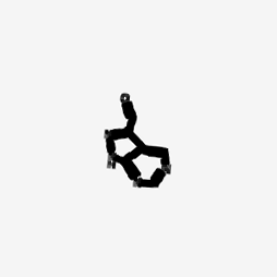 O=Cc1n[nH]c2ncncc12